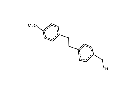 COc1ccc(CCc2ccc(CO)cc2)cc1